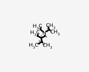 CCC(CN(CC)C(C)C)C(C)C